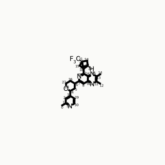 Cc1cc(C2CC(c3cc4nc(C)c(C)nc4c(C4C[C@]5(C(F)(F)F)C[C@@H]4C5)n3)CCO2)ccn1